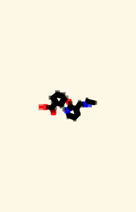 CCNCc1cccnc1Oc1cccc(C(=O)O)c1